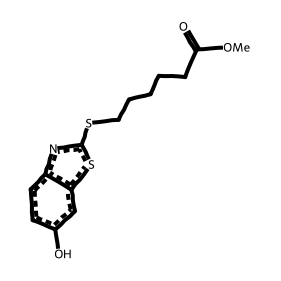 COC(=O)CCCCCSc1nc2ccc(O)cc2s1